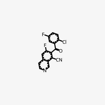 N#Cc1c(C(=O)c2cc(F)ccc2Cl)c(F)cc2ccncc12